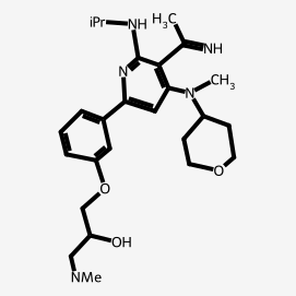 CNCC(O)COc1cccc(-c2cc(N(C)C3CCOCC3)c(C(C)=N)c(NC(C)C)n2)c1